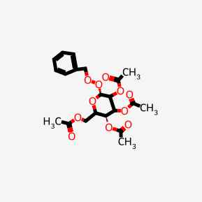 CC(=O)OCC1O[C@@H](OOCc2ccccc2)C(OC(C)=O)C(OC(C)=O)[C@@H]1OC(C)=O